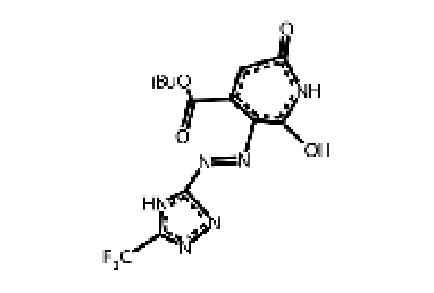 CC(C)COC(=O)c1cc(=O)[nH]c(O)c1N=Nc1nnc(C(F)(F)F)[nH]1